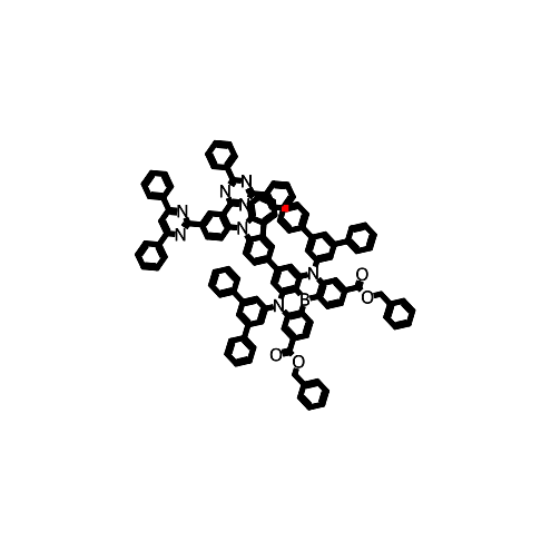 O=C(OCc1ccccc1)c1ccc2c(c1)N(c1cc(-c3ccccc3)cc(-c3ccccc3)c1)c1cc(-c3ccc4c(c3)c3ccccc3n4-c3ccc(-c4nc(-c5ccccc5)cc(-c5ccccc5)n4)cc3-c3nc(-c4ccccc4)nc(-c4ccccc4)n3)cc3c1B2c1ccc(C(=O)OCc2ccccc2)cc1N3c1cc(-c2ccccc2)cc(-c2ccccc2)c1